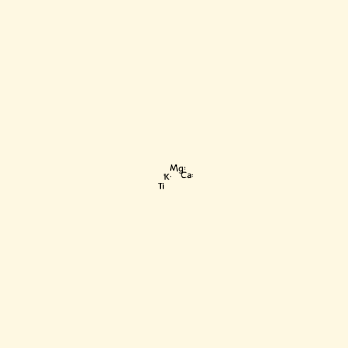 [Ca].[K].[Mg].[Ti]